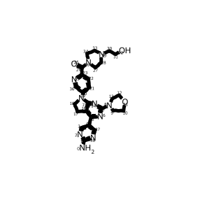 Nc1ncc(-c2nc(N3CCOCC3)nc3c2CCN3c2ccc(C(=O)N3CCN(CCO)CC3)nc2)cn1